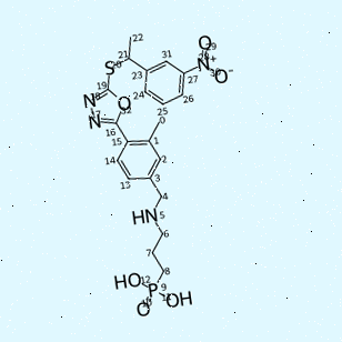 Cc1cc(CNCCCP(=O)(O)O)ccc1-c1nnc(SC(C)c2cccc([N+](=O)[O-])c2)o1